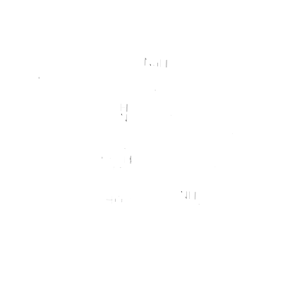 Nc1c(S(=O)(=O)O)cc(Nc2cc(Cl)ccc2C(=O)O)c2c1C(=O)c1ccccc1C2=O.[NaH]